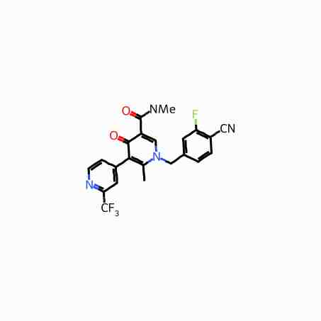 CNC(=O)c1cn(Cc2ccc(C#N)c(F)c2)c(C)c(-c2ccnc(C(F)(F)F)c2)c1=O